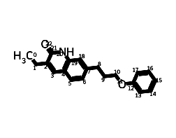 CCc1cc2ccc(CCCOc3ccccc3)cc2[nH]c1=O